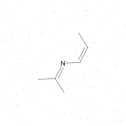 C/C=C\N=C(C)C